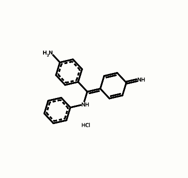 Cl.N=C1C=CC(=C(Nc2ccccc2)c2ccc(N)cc2)C=C1